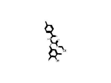 Cc1ccc(C(=S)N[C@@H](Cc2cc(I)c(O)c(I)c2)C(=O)NCC#N)cc1